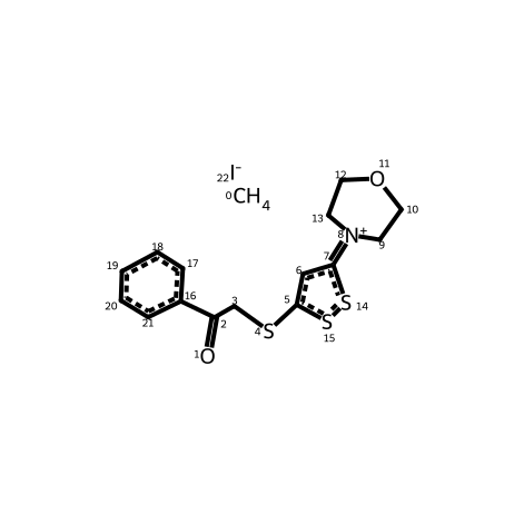 C.O=C(CSc1cc(=[N+]2CCOCC2)ss1)c1ccccc1.[I-]